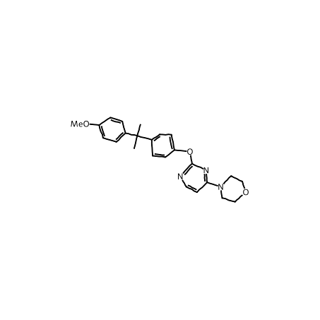 COc1ccc(C(C)(C)c2ccc(Oc3nccc(N4CCOCC4)n3)cc2)cc1